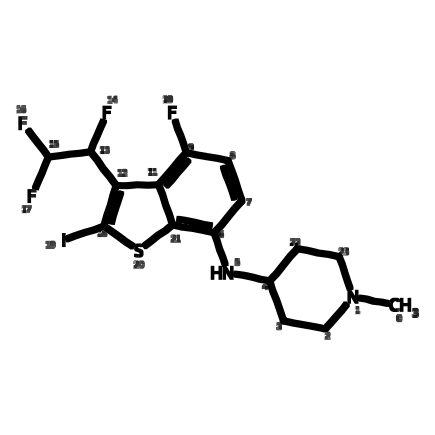 CN1CCC(Nc2ccc(F)c3c(C(F)C(F)F)c(I)sc23)CC1